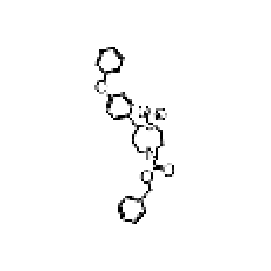 O=C(OCc1ccccc1)N1CCC(c2ccc(Oc3ccccc3)cc2)S(=O)(=O)CC1